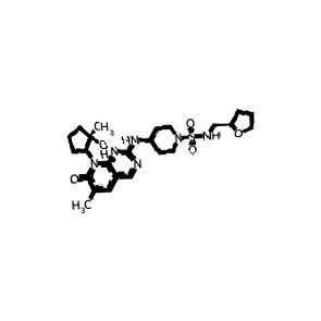 Cc1cc2cnc(NC3CCN(S(=O)(=O)NC[C@H]4CCCO4)CC3)nc2n(C2CCC[C@]2(C)O)c1=O